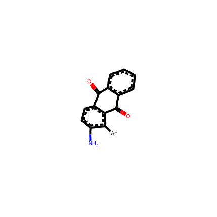 CC(=O)c1c(N)ccc2c1C(=O)c1ccccc1C2=O